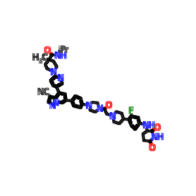 CC(C)NC(=O)C1(C)CCN(c2ccc(-c3cc(-c4ccc(N5CCN(C(=O)CN6CCC(c7ccc(NC8CCC(=O)NC8=O)cc7F)CC6)CC5)cc4)cn4ncc(C#N)c34)cn2)CC1